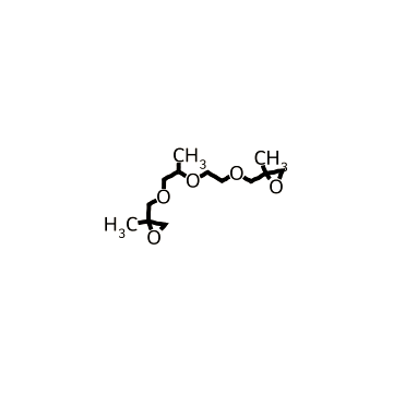 CC(COCC1(C)CO1)OCCOCC1(C)CO1